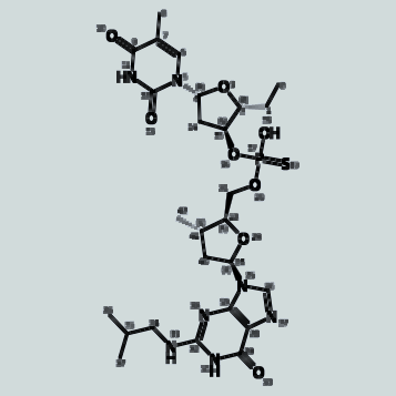 CC[C@H]1O[C@@H](n2cc(C)c(=O)[nH]c2=O)C[C@@H]1OP(O)(=S)OC[C@H]1O[C@@H](n2cnc3c(=O)[nH]c(NCC(C)C)nc32)C[C@@H]1C